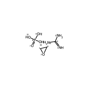 C1CO1.N=C(N)N.O=P(O)(O)O